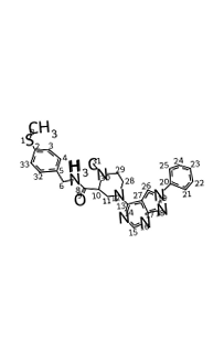 CSc1ccc(CNC(=O)C2CN(c3ncnc4nn(-c5ccccc5)cc34)CCN2C)cc1